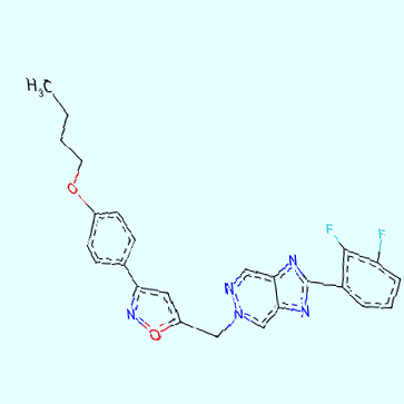 CCCCOc1ccc(-c2cc(Cn3cc4nc(-c5cccc(F)c5F)nc-4cn3)on2)cc1